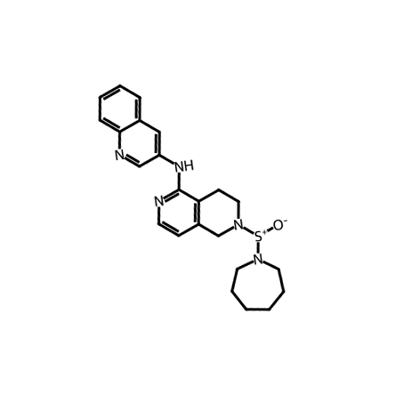 [O-][S+](N1CCCCCC1)N1CCc2c(ccnc2Nc2cnc3ccccc3c2)C1